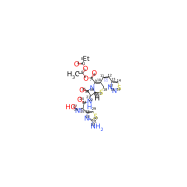 CCC(=O)OC(C)OC(=O)C1=C(/C=C\c2csnn2)CS[C@H]2C(NC(=O)/C(=N\O)c3csc(N)n3)C(=O)N12